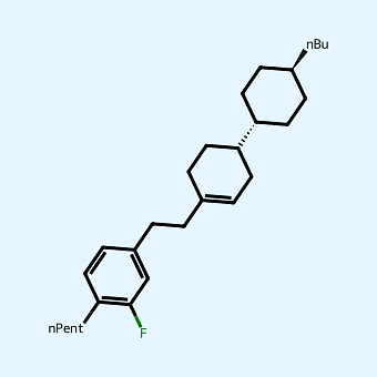 CCCCCc1ccc(CCC2=CCC([C@H]3CC[C@H](CCCC)CC3)CC2)cc1F